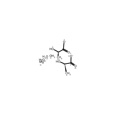 C[C@@H](O)C(=O)[O-].C[C@@H](O)C(=O)[O-].O.O.O.[Mg+2]